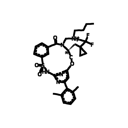 CCCCNCN1C(=O)c2cccc(c2)S(=O)(=O)Nc2nc(cc(-c3c(C)cccc3C)n2)OC[C@H]1CC1(C(F)(F)F)CC1